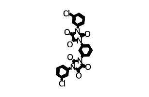 O=C1C(=O)N(c2cccc(N3C(=O)C(=O)N(c4cccc(Cl)c4)C3=O)c2)C(=O)N1c1cccc(Cl)c1